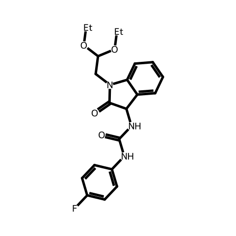 CCOC(CN1C(=O)C(NC(=O)Nc2ccc(F)cc2)c2ccccc21)OCC